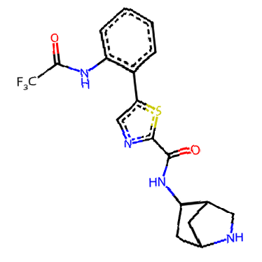 O=C(NC1CC2CC1CN2)c1ncc(-c2ccccc2NC(=O)C(F)(F)F)s1